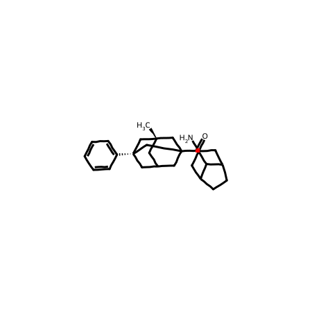 C[C@]12CC3CC(C(=O)C4C5CCC4CC(N)C5)(C1)C[C@@](c1ccccc1)(C3)C2